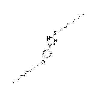 CCCCCCCCCCOc1ccc(-c2cnc(SCCCCCCCCC)nc2)cc1